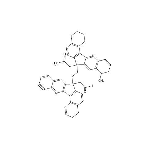 BC(=O)CC1(CCC2(CC(=O)I)c3cc4ccc#cc4nc3-c3c2ccc2c3C=CCC2)c2cc3c(nc2-c2c1ccc1c2CCCC1)C=CCC3C